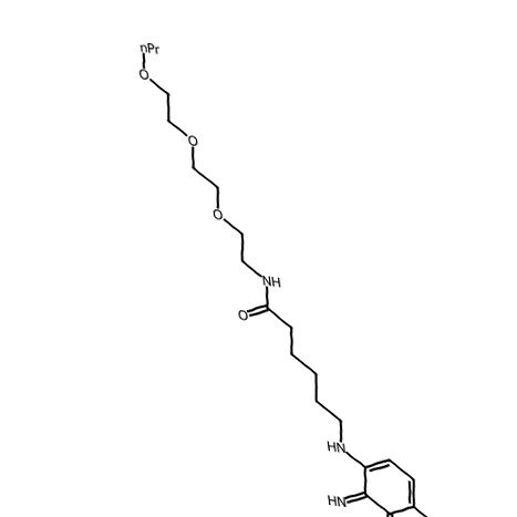 CCCOCCOCCOCCNC(=O)CCCCCNC1=CC=C([N+](=O)[O-])C(=N)C1=N